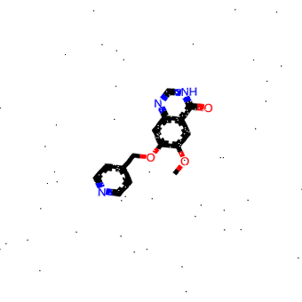 COc1cc2c(=O)[nH]cnc2cc1OCc1ccncc1